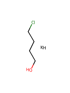 OCCCCCl.[KH]